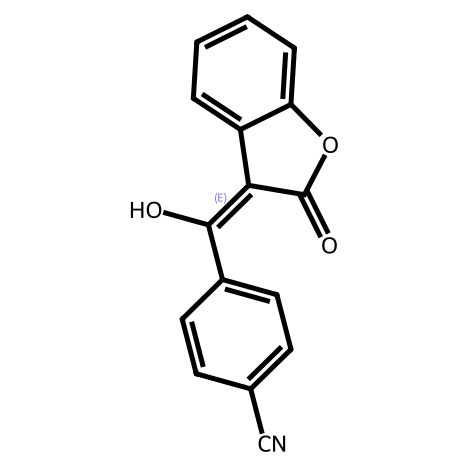 N#Cc1ccc(/C(O)=C2\C(=O)Oc3ccccc32)cc1